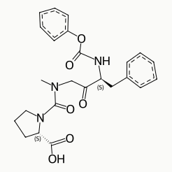 CN(CC(=O)[C@H](Cc1ccccc1)NC(=O)Oc1ccccc1)C(=O)N1CCC[C@H]1C(=O)O